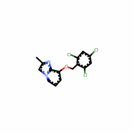 Cc1cn2cccc(OCc3c(Cl)cc(Cl)cc3Cl)c2n1